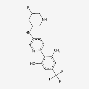 Cc1cc(C(F)(F)F)cc(O)c1-c1ccc(NC2CNCC(F)C2)nn1